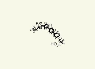 CC(C)(COc1ccc(-c2ccc(-c3nc(C(OCC[Si](C)(C)C)C(F)(F)F)c[nH]3)cn2)cn1)C(=O)O